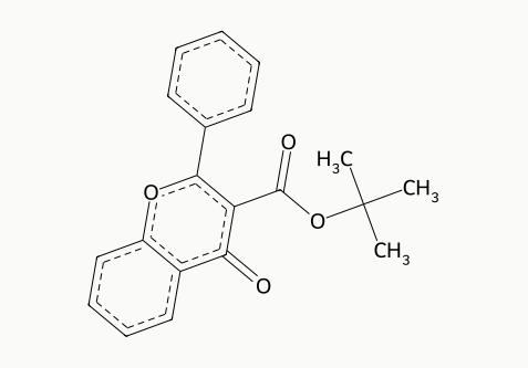 CC(C)(C)OC(=O)c1c(-c2ccccc2)oc2ccccc2c1=O